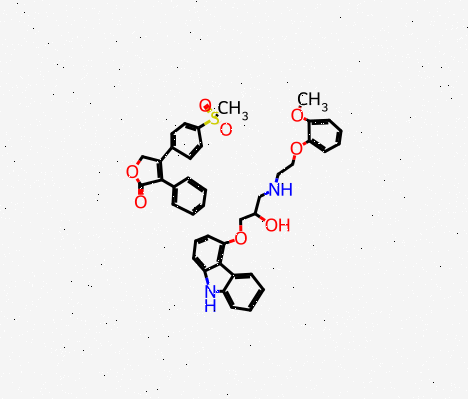 COc1ccccc1OCCNCC(O)COc1cccc2[nH]c3ccccc3c12.CS(=O)(=O)c1ccc(C2=C(c3ccccc3)C(=O)OC2)cc1